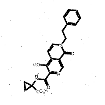 O=C(NC1(C(=O)O)CC1)c1ncc2c(=O)n(CCc3ccccc3)ccc2c1O